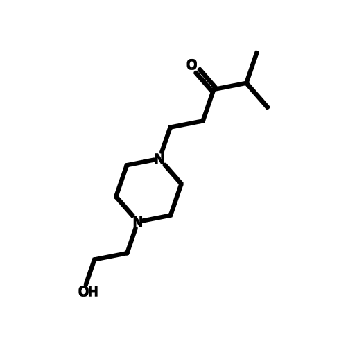 CC(C)C(=O)CCN1CCN(CCO)CC1